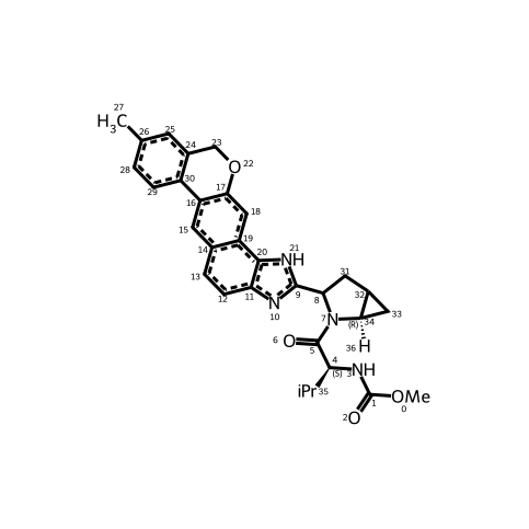 COC(=O)N[C@H](C(=O)N1C(c2nc3ccc4cc5c(cc4c3[nH]2)OCc2cc(C)ccc2-5)CC2C[C@H]21)C(C)C